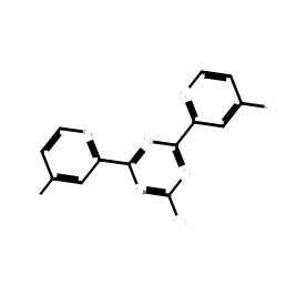 Cc1ccnc(-c2nc(C)nc(-c3cc(C)ccn3)n2)c1